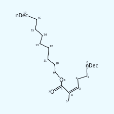 CCCCCCCCCCCCC=C(C)C(=O)OCCCCCCCCCCCCCCCCCC